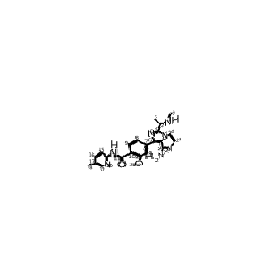 CNC(C)c1nc(-c2ccc(C(=O)Nc3ccc(C)cn3)c(OC)c2)c2c(N)nccn12